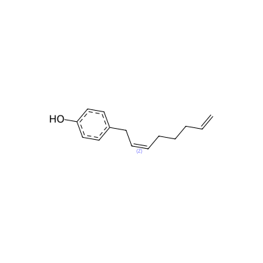 C=CCCC/C=C\Cc1ccc(O)cc1